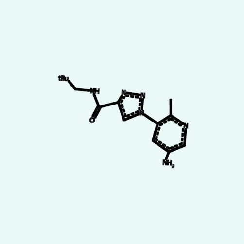 Cc1ncc(N)cc1-n1cc(C(=O)NCC(C)(C)C)nn1